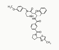 COc1ccc(CN2CCN[C@@H]([C@@H](O)[C@H](Cc3ccccc3)NC(=O)c3cccc(C(=O)N4CCCC4c4nc(C)cs4)c3)C2=O)cc1